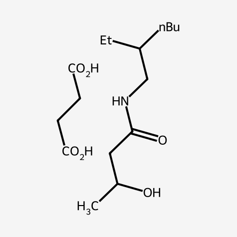 CCCCC(CC)CNC(=O)CC(C)O.O=C(O)CCC(=O)O